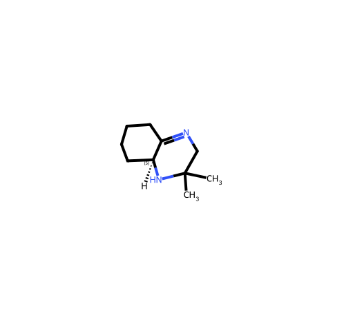 CC1(C)CN=C2CCCC[C@@H]2N1